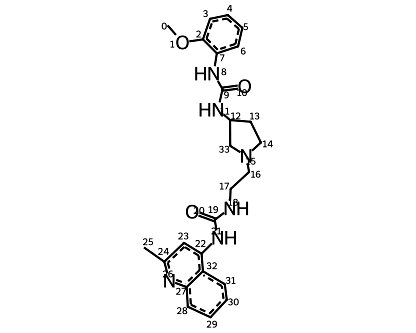 COc1ccccc1NC(=O)NC1CCN(CCNC(=O)Nc2cc(C)nc3ccccc23)C1